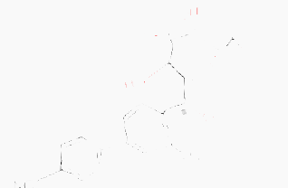 Cc1cc(-c2ccc(C#N)cc2)ccc1[C@@H](O)[C@H]1OC(CO)[C@@H](O)[C@H](O)C1O